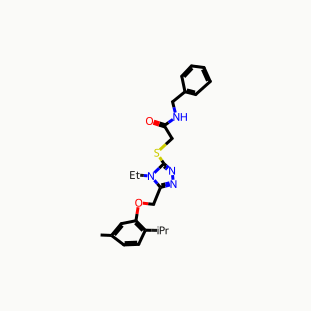 CCn1c(COc2cc(C)ccc2C(C)C)nnc1SCC(=O)NCc1ccccc1